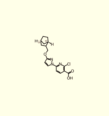 O=C(O)c1ccc(-n2ccc(OCC3C[C@H]4CC[C@H]3C4)n2)nc1Cl